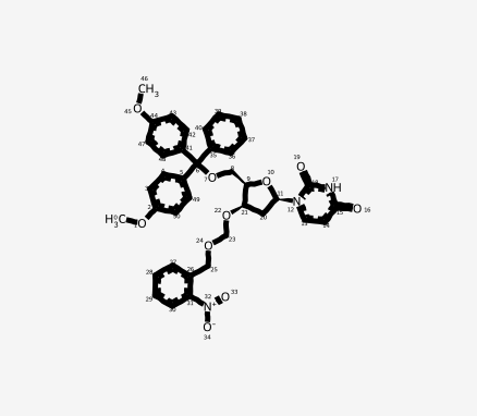 COc1ccc(C(OC[C@H]2O[C@@H](n3ccc(=O)[nH]c3=O)C[C@H]2OCOCc2ccccc2[N+](=O)[O-])(c2ccccc2)c2ccc(OC)cc2)cc1